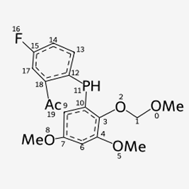 COCOc1c(OC)cc(OC)cc1Pc1ccc(F)cc1C(C)=O